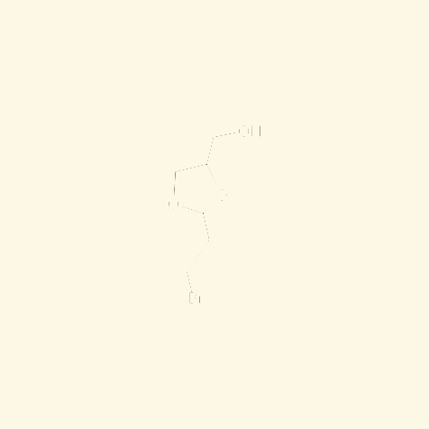 OCC1COC(CCBr)O1